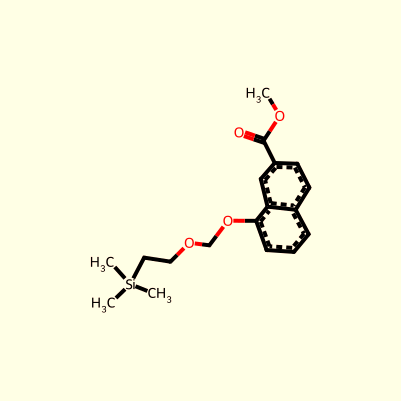 COC(=O)c1ccc2cccc(OCOCC[Si](C)(C)C)c2c1